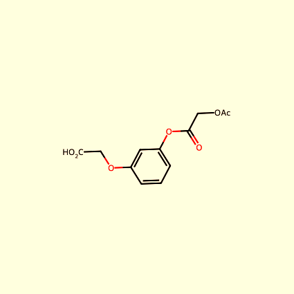 CC(=O)OCC(=O)Oc1cccc(OCC(=O)O)c1